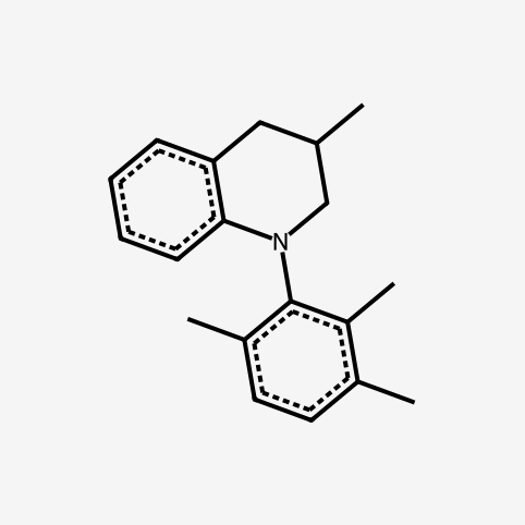 Cc1ccc(C)c(N2CC(C)Cc3ccccc32)c1C